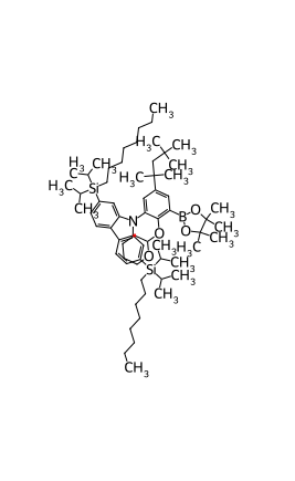 CCCCCCCC[Si](c1ccc2c3ccc([Si](CCCCCCCC)(C(C)C)C(C)C)cc3n(-c3cc(C(C)(C)CC(C)(C)C)cc(B4OC(C)(C)C(C)(C)O4)c3OC3CCCCO3)c2c1)(C(C)C)C(C)C